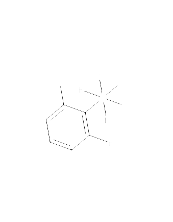 Fc1cccc(F)c1S(F)(F)(F)(F)F